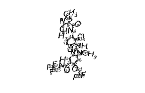 Cc1nc(C)c(C(=O)NCc2ccc(Cl)c(Nc3nc4cc(C(=O)NCC(F)(F)F)c(OCC(F)F)cc4n3C)c2Cl)s1